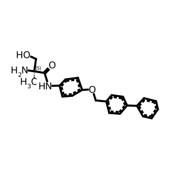 C[C@](N)(CO)C(=O)Nc1ccc(OCc2ccc(-c3ccccc3)cc2)cc1